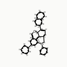 C1=C2CN(c3ccccc3)c3cc(-c4ccccc4)cc4c3=C2C(OC=4)C(c2ccc3ccccc3c2)=C1